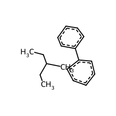 CCC(C)CC.c1ccc(-c2ccccc2)cc1